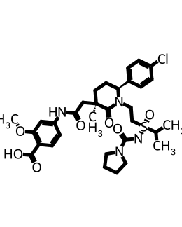 COc1cc(NC(=O)C[C@@]2(C)CC[C@@H](c3ccc(Cl)cc3)N(CCS(=O)(=NC(=O)N3CCCC3)C(C)C)C2=O)ccc1C(=O)O